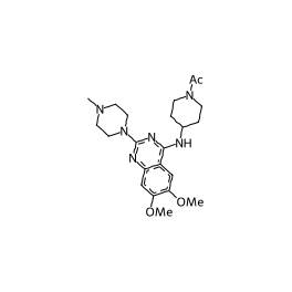 COc1cc2nc(N3CCN(C)CC3)nc(NC3CCN(C(C)=O)CC3)c2cc1OC